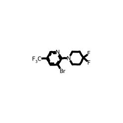 FC1(F)CCN(c2ncc(C(F)(F)F)cc2Br)CC1